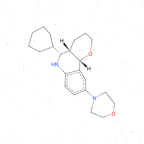 c1cc2c(cc1N1CCOCC1)[C@H]1OCCC[C@H]1[C@@H](C1CCCCC1)N2